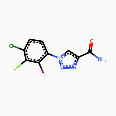 NC(=O)c1cn(-c2ccc(Cl)c(F)c2I)nn1